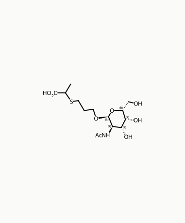 CC(=O)N[C@H]1[C@@H](OCCCSC(C)C(=O)O)O[C@H](CO)[C@H](O)[C@@H]1O